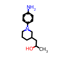 CC(O)CC1CCCN(c2ccc(N)cc2)C1